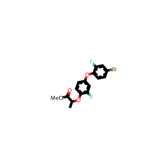 COC(=O)C(C)Oc1ccc(Oc2ccc(Br)cc2F)cc1F